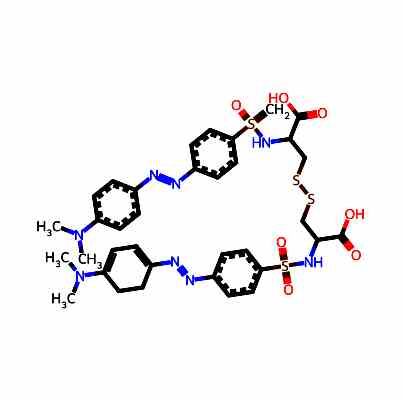 C=S(=O)(NC(CSSCC(NS(=O)(=O)c1ccc(/N=N/C2=CC=C(N(C)C)CC2)cc1)C(=O)O)C(=O)O)c1ccc(/N=N/c2ccc(N(C)C)cc2)cc1